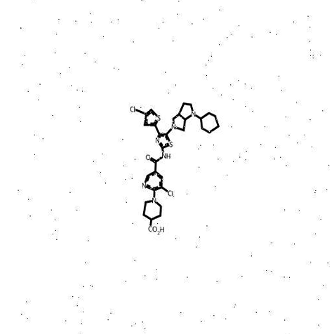 O=C(Nc1nc(-c2cc(Cl)cs2)c(N2CC3CCN(C4CCCCC4)C3C2)s1)c1cnc(N2CCC(C(=O)O)CC2)c(Cl)c1